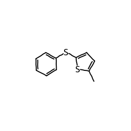 Cc1ccc(Sc2ccccc2)s1